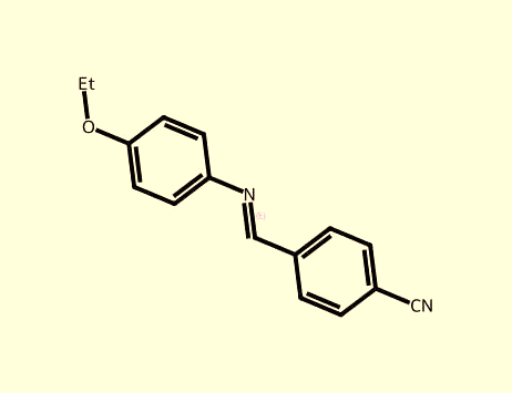 CCOc1ccc(/N=C/c2ccc(C#N)cc2)cc1